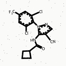 N#Cc1cnn(-c2c(Cl)cc(C(F)(F)F)cc2Cl)c1NC(=O)C1CCC1